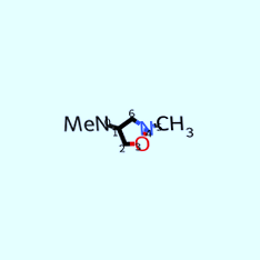 CNC1CON(C)C1